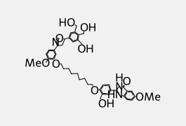 COc1ccc2c(c1)C(=O)NC(c1ccc(OCCCCCCCCCOc3cc(C4=NOC(c5cc(CO)c(CO)c(CO)c5)C4)ccc3OC)c(CO)c1)N2